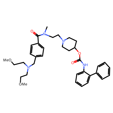 COCCN(CCOC)Cc1ccc(C(=O)N(C)CCN2CCC(OC(=O)Nc3ccccc3-c3ccccc3)CC2)cc1